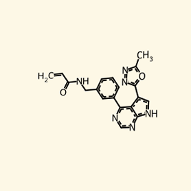 C=CC(=O)NCc1cccc(-c2ncnc3[nH]cc(-c4nnc(C)o4)c23)c1